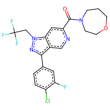 O=C(c1cc2c(cn1)c(-c1ccc(Cl)c(F)c1)nn2CC(F)(F)F)N1CCCOCC1